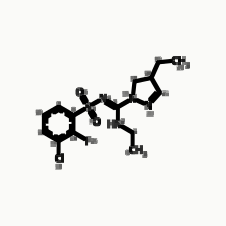 CCN/C(=N\S(=O)(=O)c1cccc(Cl)c1F)N1CC(CC)C=N1